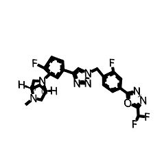 CN1C[C@@H]2C[C@H]1CN2c1cc(-c2cn(Cc3ccc(-c4nnc(C(F)F)o4)cc3F)nn2)ccc1F